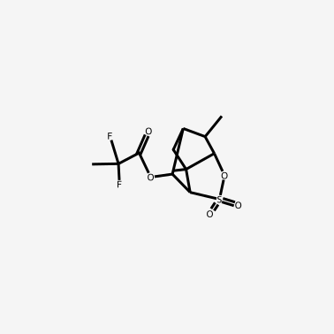 CC1C2CC3(C)C1OS(=O)(=O)C3C2OC(=O)C(C)(F)F